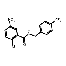 O=C(NCc1ccc(C(F)(F)F)cc1)c1cc([N+](=O)[O-])ccc1Cl